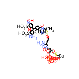 CC(C)(C)SSCO[C@@H]1C[C@H](n2cc(C#CCOCSSC(C)(C)CNC(=O)c3ccc(-c4c5cc/c(=N\O)c(S(=O)(=O)O)c-5oc5c(S(=O)(=O)O)c(N)ccc45)c(C(=O)O)c3)c(N)nc2=O)O[C@@H]1COP(=O)(O)OP(=O)(O)OP(=O)(O)O